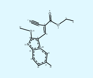 CCOC(=O)/C(C#N)=C/c1c(OC)nc2ccc(C)cn12